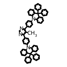 Cc1c(-c2ccc(N3c4ccccc4C(c4ccccc4)(c4ccccc4)c4ccccc43)cc2)ncnc1-c1ccc(N2c3ccccc3C(c3ccccc3)(c3ccccc3)c3ccccc32)cc1